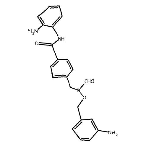 Nc1cccc(CON(C=O)Cc2ccc(C(=O)Nc3ccccc3N)cc2)c1